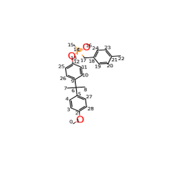 COc1ccc(C(C)(C)c2ccc(OP(C)(=O)Cc3ccc(C)cc3)cc2)cc1